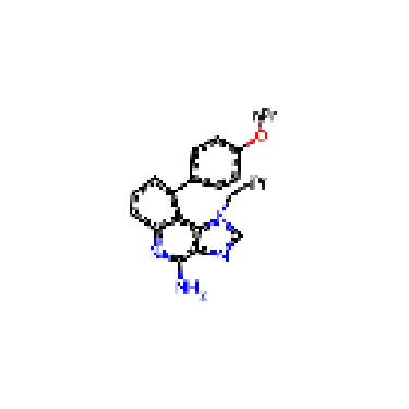 CCCOc1ccc(-c2cccc3nc(N)c4ncn(CC(C)C)c4c23)cc1